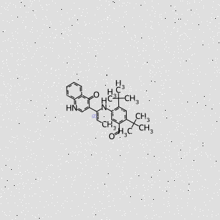 C/C=C(\Nc1cc(C=O)c(C(C)(C)C)cc1C(C)(C)C)c1c[nH]c2ccccc2c1=O